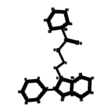 O=C(OCCn1c(-c2ccccc2)nc2ccccc21)c1ccccc1